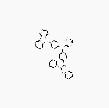 c1ccc(-c2nc3ccccc3nc2-c2ccc(N(c3ccc(-n4c5ccccc5c5ccccc54)cc3)c3cncnn3)cc2)cc1